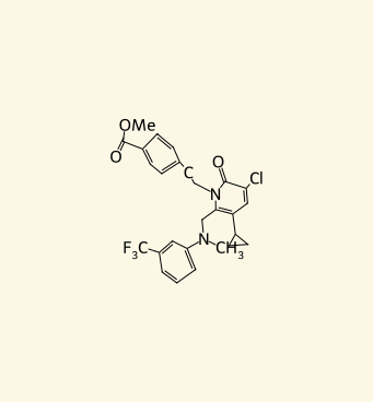 COC(=O)c1ccc(CCn2c(CN(C)c3cccc(C(F)(F)F)c3)c(C3CC3)cc(Cl)c2=O)cc1